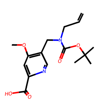 C=CCN(Cc1cnc(C(=O)O)cc1OC)C(=O)OC(C)(C)C